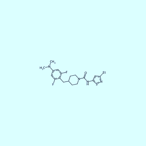 CCc1cc(NC(=O)N2CCC(Cc3c(F)cc(N(C)C)cc3F)CC2)sn1